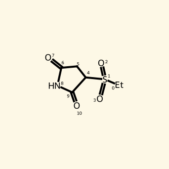 CCS(=O)(=O)C1CC(=O)NC1=O